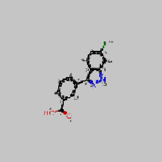 O=C(O)c1cccc(-c2n[nH]c3cc(F)ccc23)c1